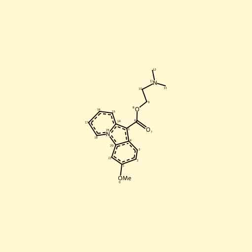 COc1ccc2c(C(=O)OCCN(C)C)c3ccccn3c2c1